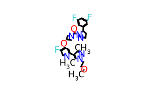 COCCn1nc(C)c(-c2cc(OC3CN(C(=O)N4N=CCC4c4cc(F)cc(F)c4)C3)c(F)cn2)c1C